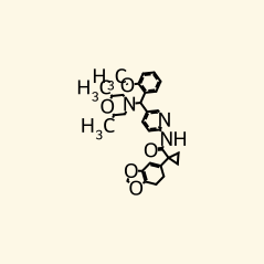 COc1ccccc1C(c1ccc(NC(=O)C2(C3=CC4=C(CC3)OCO4)CC2)nc1)N1CC(C)OC(C)C1